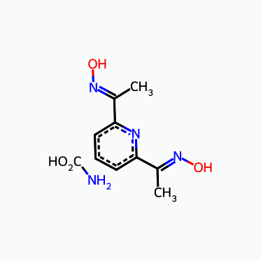 CC(=NO)c1cccc(C(C)=NO)n1.NC(=O)O